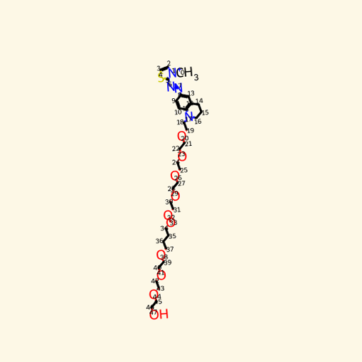 C[n+]1ccsc1/N=N/c1ccc2c(c1)CCCN2CCOCCOCCOCCOCCOOCCCCOCCOCCOCCO